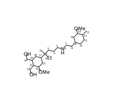 CCC(C)(CCCNCCC1CCC(C)C(OC)C1)C1CC(CO)C(CO)C(OC)C1